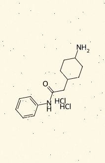 Cl.Cl.NC1CCC(CC(=O)Nc2ccccc2)CC1